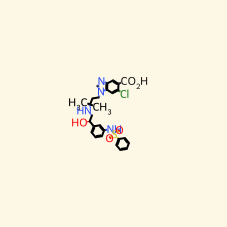 CC(C)(CCn1cnc2cc(C(=O)O)c(Cl)cc21)NC[C@H](O)c1cccc(NS(=O)(=O)c2ccccc2)c1